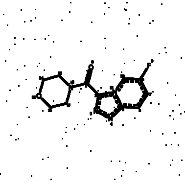 O=C(c1nnc2ccc(F)cn12)N1CCOCC1